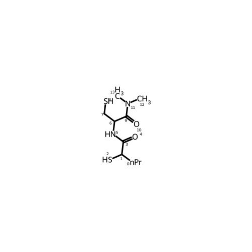 CCCC(S)C(=O)NC(CS)C(=O)N(C)C